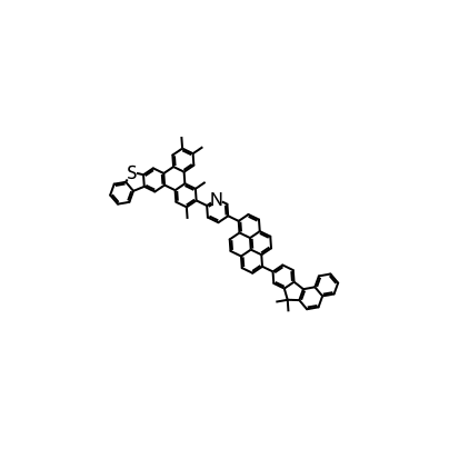 Cc1cc2c3cc4sc5ccccc5c4cc3c3cc(C)c(-c4ccc(-c5ccc6ccc7c(-c8ccc9c(c8)C(C)(C)c8ccc%10ccccc%10c8-9)ccc8ccc5c6c87)cn4)c(C)c3c2cc1C